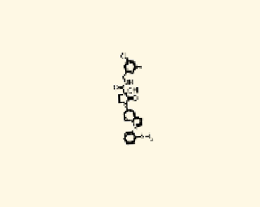 Nc1ccccc1-n1ccc2cc(N3CCC(O)(C(=O)NCc4cc(F)cc(Cl)c4)C3=O)ccc21